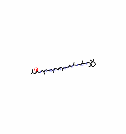 CC1=C(/C=C/C(C)=C/C=C/C(C)=C/C=C/C=C(C)/C=C/C=C(C)/C=C/C=C(C)/C=C/C(=O)CC(C)C)C(C)(C)CCC1